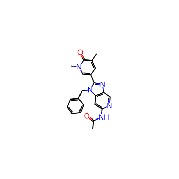 CC(=O)Nc1cc2c(cn1)nc(-c1cc(C)c(=O)n(C)c1)n2Cc1ccccc1